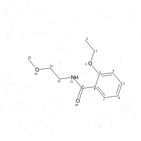 CCOc1ccccc1C(=O)NCCOC